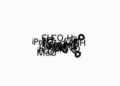 CC[C@H](C)[C@@H]([C@@H](CC(=O)N1CCC[C@H]1[C@H](OC)[C@@H](C)C(=O)N[C@@H](Cc1ccccc1)C(=O)NNC(=O)c1ccccc1)OC)N(C)C(=O)[C@@H](NC(=O)[C@H](C(C)C)N(C)CCCC(=O)O)C(C)C